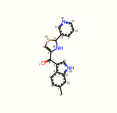 Cc1ccc2c(C(=O)C3=CSC(c4cccnc4)N3)c[nH]c2c1